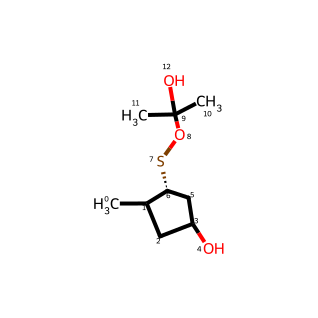 CC1CC(O)C[C@H]1SOC(C)(C)O